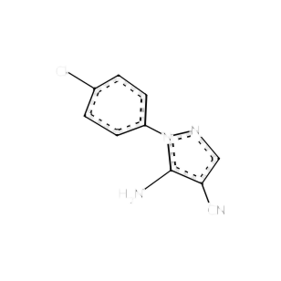 N#Cc1cnn(-c2ccc(Cl)cc2)c1N